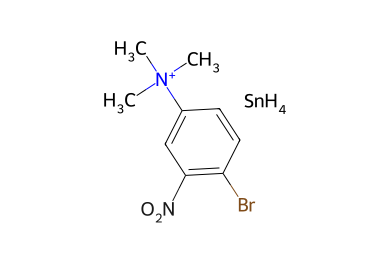 C[N+](C)(C)c1ccc(Br)c([N+](=O)[O-])c1.[SnH4]